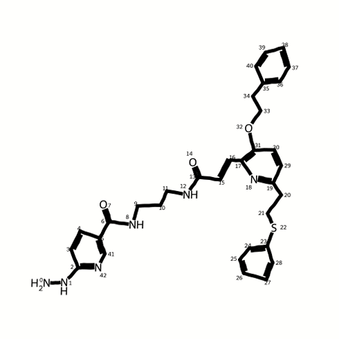 NNc1ccc(C(=O)NCCCNC(=O)C=Cc2nc(CCSc3ccccc3)ccc2OCCc2ccccc2)cn1